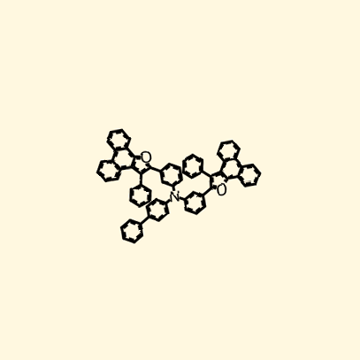 c1ccc(-c2ccc(N(c3cccc(-c4oc5c6ccccc6c6ccccc6c5c4-c4ccccc4)c3)c3cccc(-c4oc5c6ccccc6c6ccccc6c5c4-c4ccccc4)c3)cc2)cc1